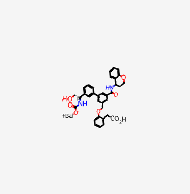 CC(C)(C)OC(=O)N[C@H](CO)c1cccc(-c2cc(COc3ccccc3CC(=O)O)cc(C(=O)NC3CCOc4ccccc43)c2)c1